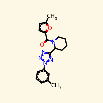 Cc1cccc(-n2nnc(C3CCCCN3C(=O)c3ccc(C)o3)n2)c1